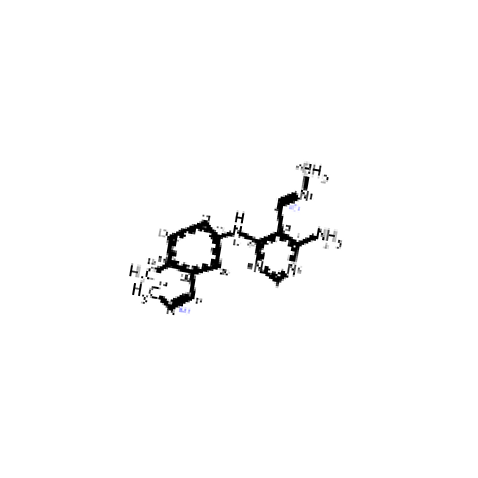 B/N=C/c1c(N)ncnc1Nc1ccc(C)c(/C=C\C)c1